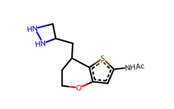 CC(=O)Nc1cc2c(s1)C(CC1CNN1)CCO2